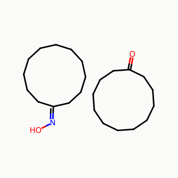 O=C1CCCCCCCCCCC1.ON=C1CCCCCCCCCCC1